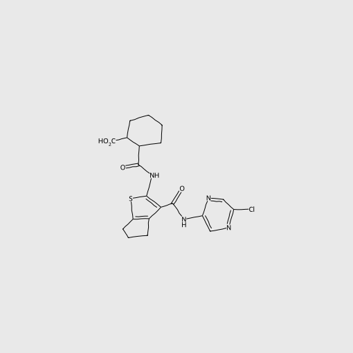 O=C(Nc1cnc(Cl)cn1)c1c(NC(=O)C2CCCCC2C(=O)O)sc2c1CCC2